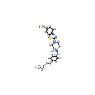 O=C(O)CCc1ccc(CN2CCN(c3nc4ccc(Cl)cc4s3)CC2)cc1